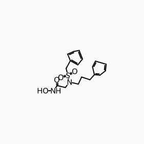 O=C(CN(CCCc1ccccc1)S(=O)(=O)Cc1ccccc1)NO